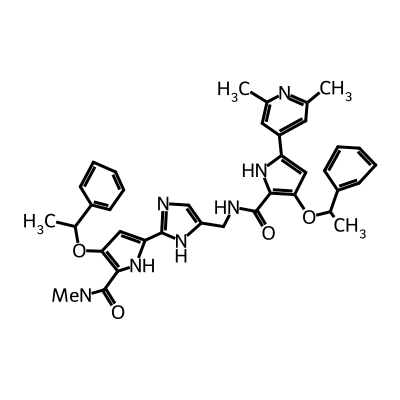 CNC(=O)c1[nH]c(-c2ncc(CNC(=O)c3[nH]c(-c4cc(C)nc(C)c4)cc3OC(C)c3ccccc3)[nH]2)cc1OC(C)c1ccccc1